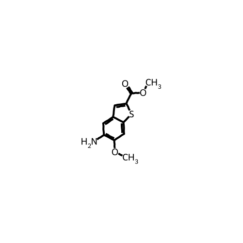 COC(=O)c1cc2cc(N)c(OC)cc2s1